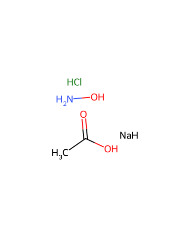 CC(=O)O.Cl.NO.[NaH]